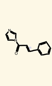 O=C(/C=C/c1ccccc1)n1ccnc1